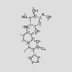 Cc1c(-c2ccco2)c(=O)oc2cc(NC3C(O)OC(CO)[C@H](O)C3O)ccc12